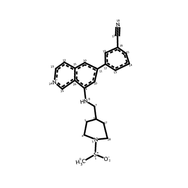 C[S+]([O-])N1CCC(CNc2cc(-c3cccc(C#N)c3)cc3ccncc23)CC1